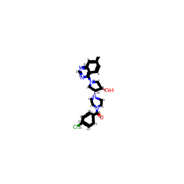 Cc1ccc2c(N3C[C@@H](O)[C@H](N4CCN(C(=O)c5ccc(Cl)cc5)CC4)C3)ncnc2c1